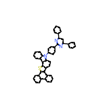 c1ccc(-c2cc(-c3ccccc3)nc(-c3ccc(-n4c5ccccc5c5c6sc7c8ccccc8c8ccccc8c7c6ccc54)cc3)n2)cc1